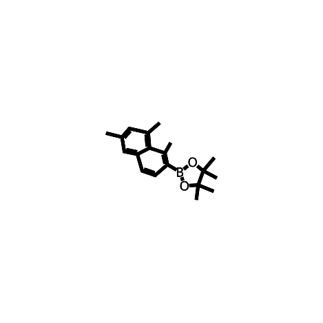 Cc1cc(C)c2c(C)c(B3OC(C)(C)C(C)(C)O3)ccc2c1